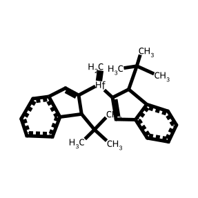 [CH2]=[Hf]([C]1=Cc2ccccc2C1C(C)(C)C)[C]1=Cc2ccccc2C1C(C)(C)C